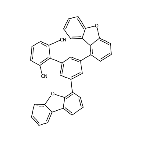 N#Cc1cccc(C#N)c1-c1cc(-c2cccc3c2oc2ccccc23)cc(-c2cccc3oc4ccccc4c23)c1